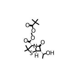 CC(O)[C@H]1C(=O)N2[C@@H]1SC(C)(C)[C@@H]2C(=O)OCOC(=O)C(C)(C)C